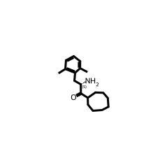 Cc1cccc(C)c1C[C@H](N)C(=O)C1CCCCCCC1